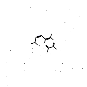 Cc1nc(C(C)(C)C)c(C)nc1/C=C\C(C)N